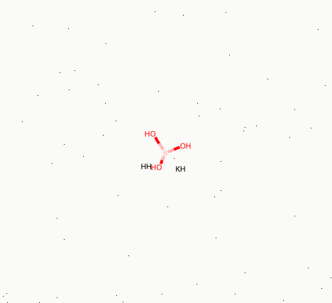 OB(O)O.[HH].[KH]